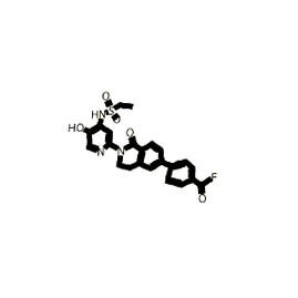 CCS(=O)(=O)Nc1cc(N2CCc3cc(-c4ccc(C(=O)F)cc4)ccc3C2=O)ncc1O